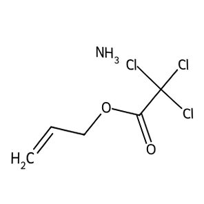 C=CCOC(=O)C(Cl)(Cl)Cl.N